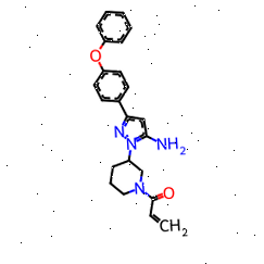 C=CC(=O)N1CCCC(n2nc(-c3ccc(Oc4ccccc4)cc3)cc2N)C1